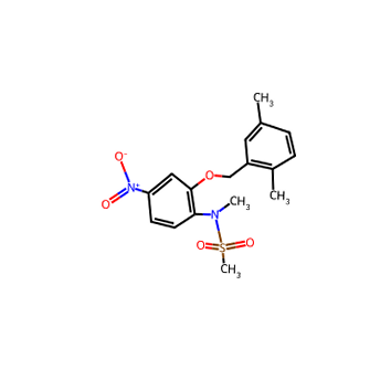 Cc1ccc(C)c(COc2cc([N+](=O)[O-])ccc2N(C)S(C)(=O)=O)c1